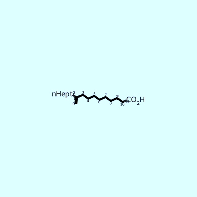 C=C(CCCCCCC)CCCCCCCCC(=O)O